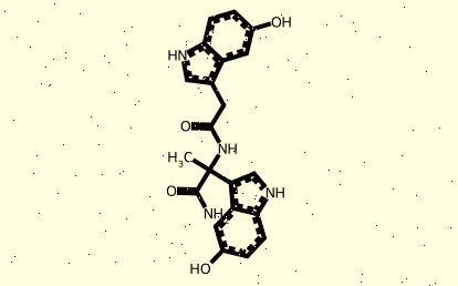 CC(NC(=O)Cc1c[nH]c2ccc(O)cc12)(C(N)=O)c1c[nH]c2ccc(O)cc12